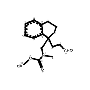 CN(CC1(CCC=O)CCCc2ccccc21)C(=O)OC(C)(C)C